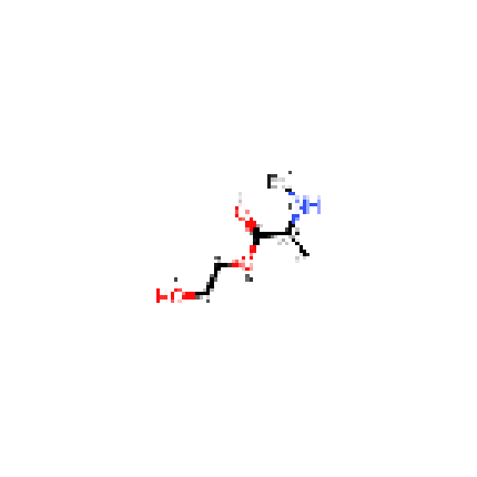 CCN[C@@H](C)C(=O)OCCO